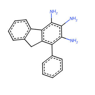 Nc1c(N)c(-c2ccccc2)c2c(c1N)-c1ccccc1C2